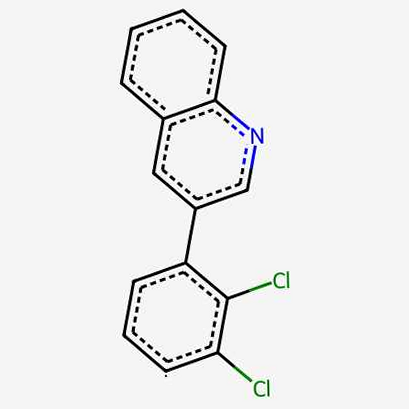 Clc1[c]ccc(-c2cnc3ccccc3c2)c1Cl